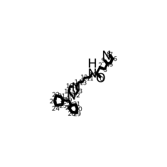 O=C(C=Cc1cccnc1)NCCCCN1CCN(C(c2ccccc2)c2ccccc2)CC1